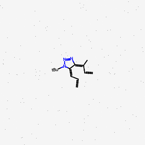 C=C/C=c1\c(=C(\C)C=C)nnn1C(C)(C)C